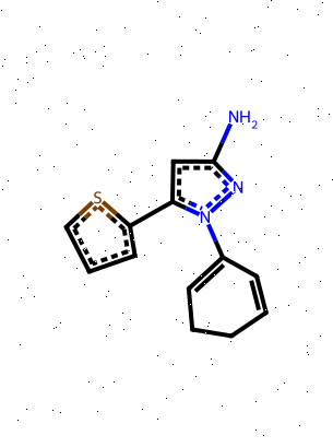 Nc1cc(-c2cccs2)n(C2=CCCC=C2)n1